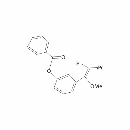 COC(=C(C(C)C)C(C)C)c1cccc(OC(=O)c2ccccc2)c1